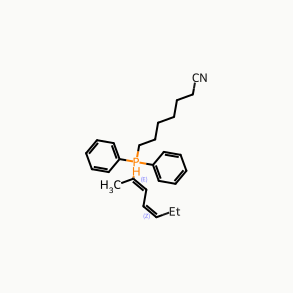 CC/C=C\C=C(/C)[PH](CCCCCCC#N)(c1ccccc1)c1ccccc1